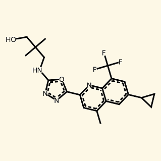 Cc1cc(-c2nnc(NCC(C)(C)CO)o2)nc2c(C(F)(F)F)cc(C3CC3)cc12